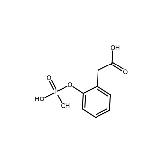 O=C(O)Cc1ccccc1OP(=O)(O)O